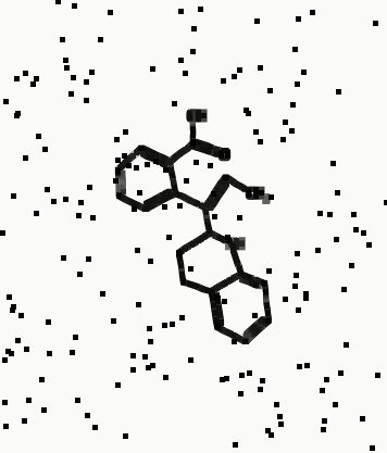 CC=C(c1ccccc1C(=O)O)C1CCc2ccccc2N1